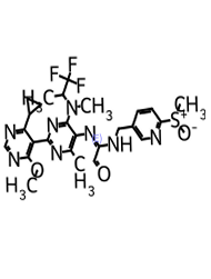 COc1ncnc(C2CC2)c1-c1nc(C)c(/N=C(\C=O)NCc2ccc([S+](C)[O-])nc2)c(N(C)C(C)C(F)(F)F)n1